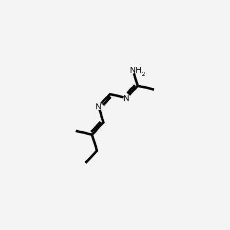 CC/C(C)=C/N=C\N=C(\C)N